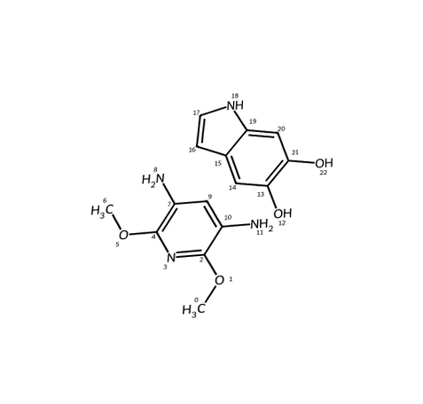 COc1nc(OC)c(N)cc1N.Oc1cc2cc[nH]c2cc1O